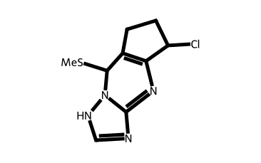 CSC1C2=C(N=C3N=CNN31)C(Cl)CC2